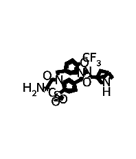 N[C@H]1CS(=O)(=O)c2ccc(-c3nnc(C45CNCC(C4)C5)o3)cc2N(Cc2ccc(OC(F)(F)F)cc2)C1=O